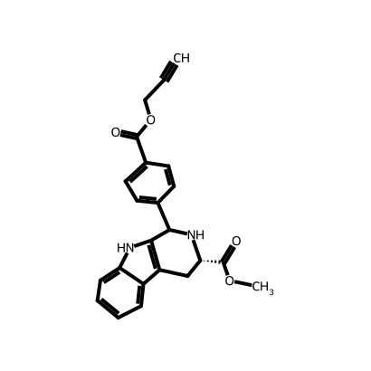 C#CCOC(=O)c1ccc(C2N[C@H](C(=O)OC)Cc3c2[nH]c2ccccc32)cc1